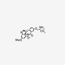 COc1cc(C2(NC(=O)c3cc(OCC(C)N)ccc3C)CC2)c2cccnc2c1